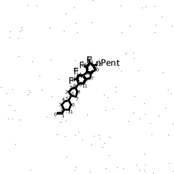 C=CC1CCC(C2CCC(c3cc4c(c(F)c3F)-c3c(cc(CCCCC)c(F)c3F)C4)CC2)CC1